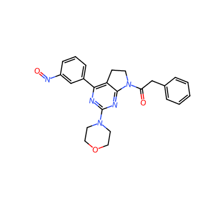 O=Nc1cccc(-c2nc(N3CCOCC3)nc3c2CCN3C(=O)Cc2ccccc2)c1